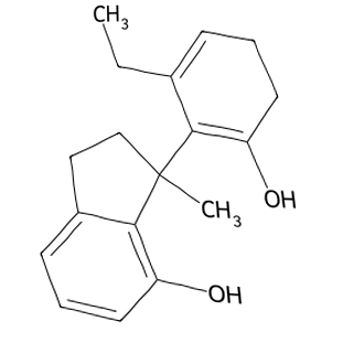 CCC1=CCCC(O)=C1C1(C)CCc2cccc(O)c21